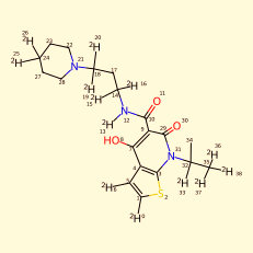 [2H]c1sc2c(c1[2H])c(O)c(C(=O)N([2H])C([2H])([2H])CC([2H])([2H])N1CCC([2H])([2H])CC1)c(=O)n2C([2H])(C)C([2H])([2H])[2H]